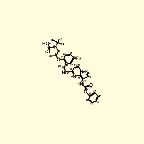 C[C@@H](CN(C(=O)O)C(C)(C)C)Oc1ccc(F)cc1[C@@H](C)Nc1ccn2ncc(NC(=O)Oc3ccccc3)c2n1